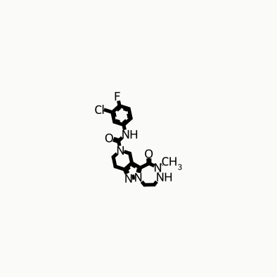 CN1NCCn2nc3c(c2C1=O)CN(C(=O)Nc1ccc(F)c(Cl)c1)CC3